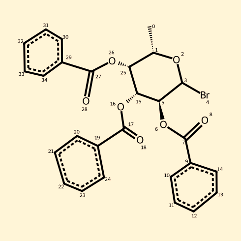 C[C@@H]1OC(Br)[C@@H](OC(=O)c2ccccc2)[C@H](OC(=O)c2ccccc2)[C@@H]1OC(=O)c1ccccc1